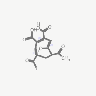 CC(=O)C1C\C(C(=O)I)=C/C(C(=O)O)=C(C(=O)O)\C=C\1C